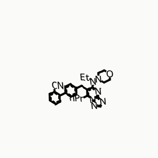 CCCc1c(Cc2ccc(-c3ccccc3C#N)cc2)c(N(CC)N2CCOCC2)nc2ncnn12